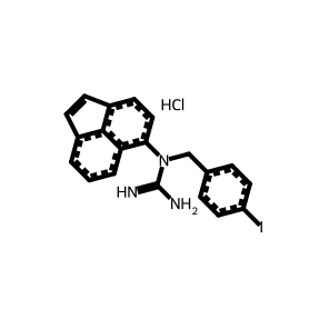 Cl.N=C(N)N(Cc1ccc(I)cc1)c1ccc2c3c(cccc13)C=C2